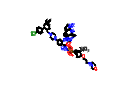 CC1(C)CCC(CN2CCN(c3ccc(C(=O)NS(=O)(=O)c4ccc(OCCCN5CCOCC5)c([N+](=O)[O-])c4)c(-n4ncc5nc6[nH]ccc6cc54)c3)CC2)=C(c2ccc(Cl)cc2)C1